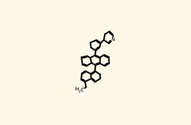 CCc1cccc2c1=CCCC=2C1=c2ccccc2=C(C2=CC(C3C=NC=CC3)=CCC2)C2C=CC=CC12